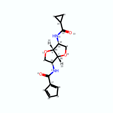 O=C(N[C@H]1CO[C@H]2[C@@H]1OC[C@@H]2NC(=O)C1CC1)C1=CCC=C1